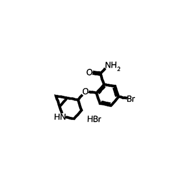 Br.NC(=O)c1cc(Br)ccc1OC1CCNC2CC21